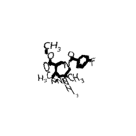 CCOC(=O)C1=CN(C(=O)c2ccc(F)cc2)CC(C)(C)c2[nH]nc(C)c21